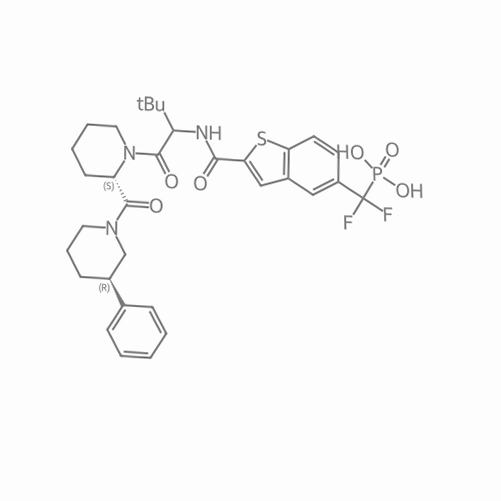 CC(C)(C)C(NC(=O)c1cc2cc(C(F)(F)P(=O)(O)O)ccc2s1)C(=O)N1CCCC[C@H]1C(=O)N1CCC[C@H](c2ccccc2)C1